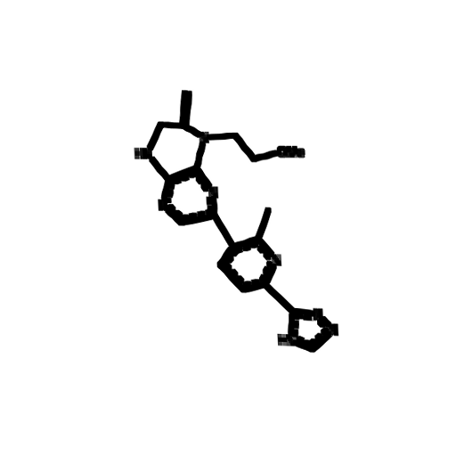 C=C1CNc2ncc(-c3ccc(-c4nnc[nH]4)nc3C)nc2N1CCOC